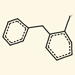 [CH]c1ccccc1Cc1ccccc1